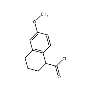 COc1ccc2c(c1)CCCC2C(=O)Cl